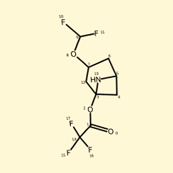 O=C(OC12CC(CC(OC(F)F)C1)N2)C(F)(F)F